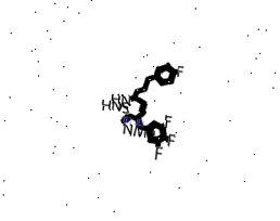 CN/C=C1\C(=C\c2cc(F)c(F)c(F)c2)C=CC(CCCc2ccc(F)cc2)NS1=N